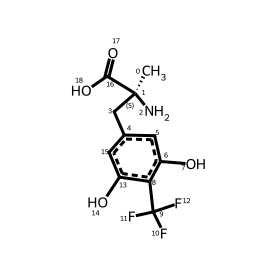 C[C@](N)(Cc1cc(O)c(C(F)(F)F)c(O)c1)C(=O)O